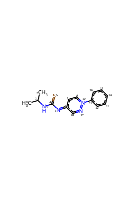 CC(C)NC(=S)N=c1ccn(-c2ccccc2)nc1